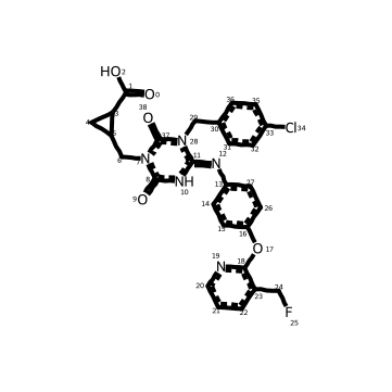 O=C(O)C1CC1Cn1c(=O)[nH]/c(=N\c2ccc(Oc3ncccc3CF)cc2)n(Cc2ccc(Cl)cc2)c1=O